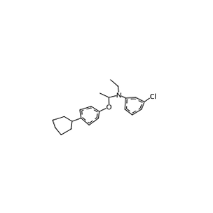 CCN(c1cccc(Cl)c1)C(C)Oc1ccc(C2CCCCC2)cc1